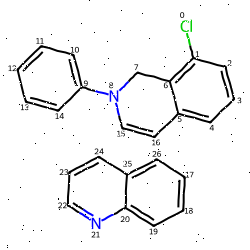 Clc1cccc2c1CN(c1ccccc1)C=C2.c1ccc2ncccc2c1